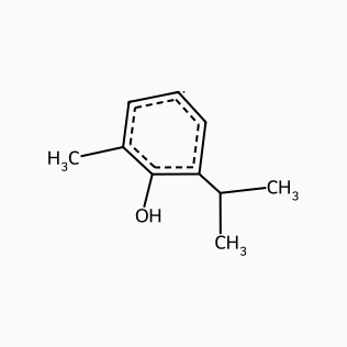 Cc1c[c]cc(C(C)C)c1O